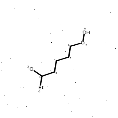 CCC([O])CCCCOO